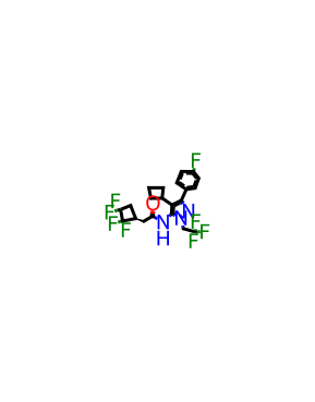 O=C(C[C@@H]1CC(F)(F)C1(F)F)Nc1c(C2CCC2)c(-c2ccc(F)cc2)nn1CC(F)(F)F